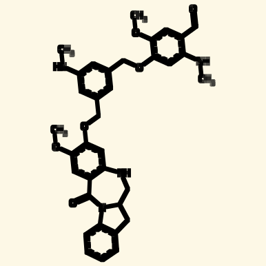 CNc1cc(COc2cc(NC)c(C=O)cc2OC)cc(COc2cc3c(cc2OC)C(=O)N2c4ccccc4CC2CN3)c1